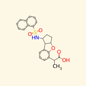 CC(C(=O)O)c1cccc2c1OC1CCC(NS(=O)(=O)c3cccc4ccccc34)C21